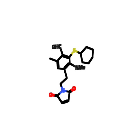 CNc1c(CCN2C(=O)C=CC2=O)cc(C)c(C=O)c1SC1CCCCC1